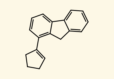 C1=C(c2cccc3c2Cc2ccccc2-3)CCC1